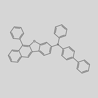 c1ccc(-c2ccc(N(c3ccccc3)c3ccc4c(c3)oc3c(-c5ccccc5)c5ccccc5cc34)cc2)cc1